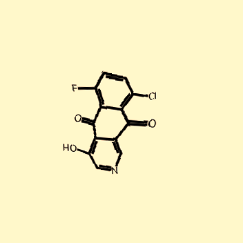 O=C1c2c(O)cncc2C(=O)c2c(Cl)ccc(F)c21